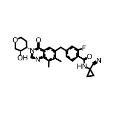 Cc1c(Cc2ccc(C(=O)NC3(C#N)CC3)c(F)c2)cc2c(=O)n([C@H]3CCOC[C@@H]3O)cnc2c1C